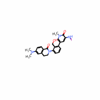 CN(C)c1ccc2c(c1)CCN(c1cccc(-c3cc(NI)c(=O)n(C)c3)c1CO)C2=O